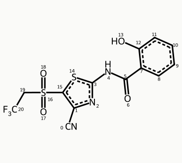 N#Cc1nc(NC(=O)c2ccccc2O)sc1S(=O)(=O)CC(F)(F)F